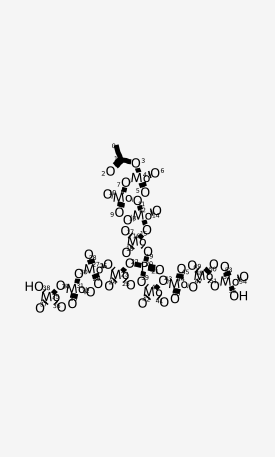 CC(=O)[O][Mo](=[O])(=[O])[O][Mo](=[O])(=[O])[O][Mo](=[O])(=[O])[O][Mo](=[O])(=[O])[O]P(=O)([O][Mo](=[O])(=[O])[O][Mo](=[O])(=[O])[O][Mo](=[O])(=[O])[O][Mo](=[O])(=[O])[OH])[O][Mo](=[O])(=[O])[O][Mo](=[O])(=[O])[O][Mo](=[O])(=[O])[O][Mo](=[O])(=[O])[OH]